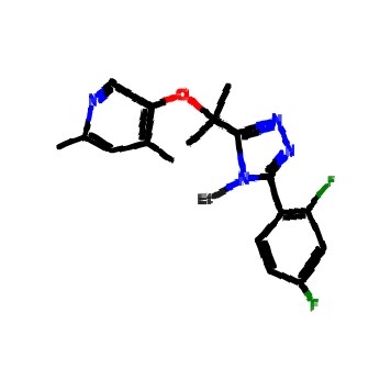 CCn1c(-c2ccc(F)cc2F)nnc1C(C)(C)Oc1cnc(C)cc1C